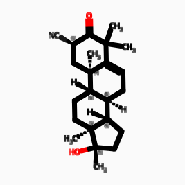 CC1(C)C(=O)[C@H](C#N)C[C@@]2(C)C1=CC[C@@H]1[C@@H]2CC[C@@]2(C)[C@H]1CC[C@]2(C)O